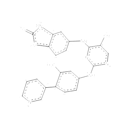 Cc1cc(Nc2ncc(C)c(Nc3ccc4oc(=O)[nH]c4c3)n2)ccc1-c1cccnc1